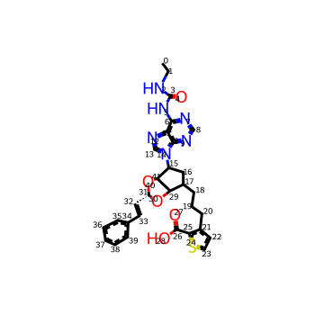 CCNC(=O)Nc1ncnc2c1ncn2C1CC(CCCc2ccsc2C(=O)O)C2O[C@H](/C=C/c3ccccc3)OC21